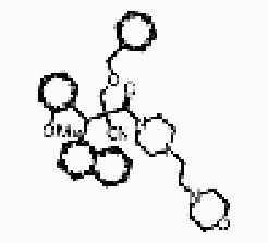 COc1ccccc1C(c1cccc2ccccc12)C(C#N)(COCc1ccccc1)C(=O)N1CCN(CCN2CCOCC2)CC1